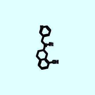 CCN(Cc1cccnc1)C1CCc2cccc(O)c2C1